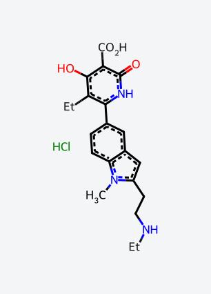 CCNCCc1cc2cc(-c3[nH]c(=O)c(C(=O)O)c(O)c3CC)ccc2n1C.Cl